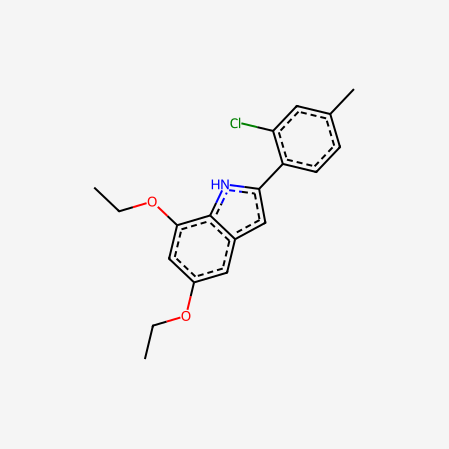 CCOc1cc(OCC)c2[nH]c(-c3ccc(C)cc3Cl)cc2c1